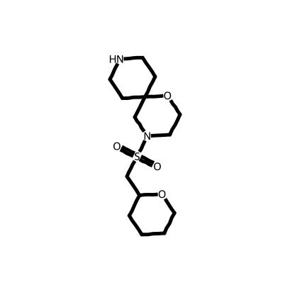 O=S(=O)(CC1CCCCO1)N1CCOC2(CCNCC2)C1